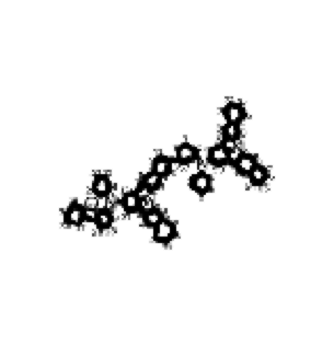 c1ccc(N(c2cccc(-c3ccc4cc5c6cc(N(c7ccccc7)c7cccc8c7oc7ccccc78)cc7c8cc9ccccc9cc8n(c5cc4c3)c76)c2)c2cc3c4cc5ccccc5cc4n4c5cc6ccccc6cc5c(c2)c34)cc1